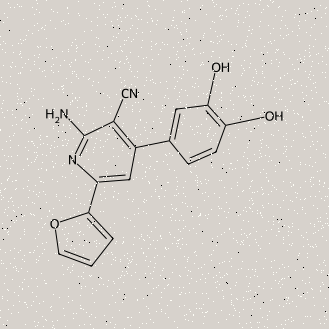 N#Cc1c(-c2ccc(O)c(O)c2)cc(-c2ccco2)nc1N